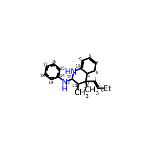 CCC=CC1(C)C2CC=CC=C2NC(Nc2ccccc2)C1C